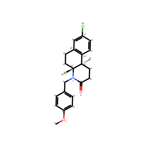 COc1ccc(CN2C(=O)CC[C@]3(C)c4ccc(Cl)cc4CC[C@@H]23)cc1